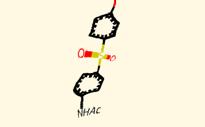 CC(=O)Nc1ccc(S(=O)(=O)c2ccc(O)cc2)cc1